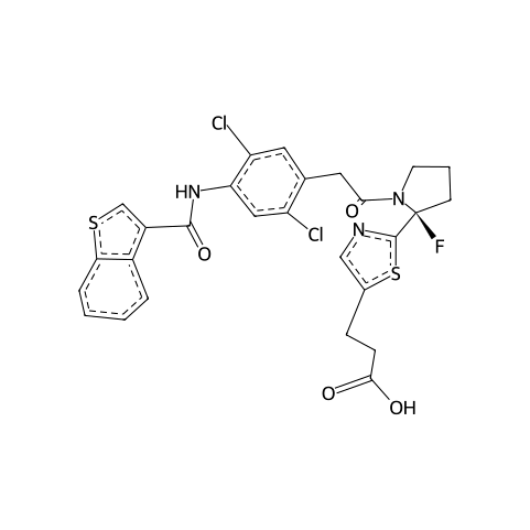 O=C(O)CCc1cnc([C@@]2(F)CCCN2C(=O)Cc2cc(Cl)c(NC(=O)c3csc4ccccc34)cc2Cl)s1